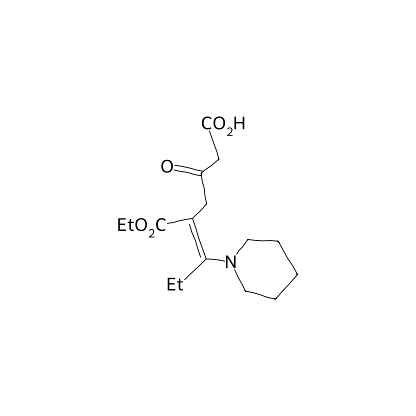 CCOC(=O)/C(CC(=O)CC(=O)O)=C(\CC)N1CCCCC1